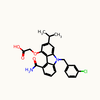 CC(C)c1cc(OCC(=O)O)c2c3c(C(N)=O)cccc3n(Cc3cccc(Cl)c3)c2c1